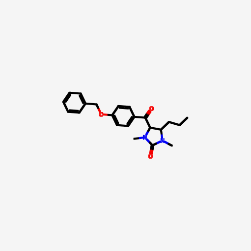 CCCC1C(C(=O)c2ccc(OCc3ccccc3)cc2)N(C)C(=O)N1C